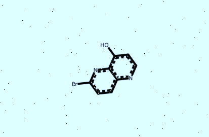 Oc1ccnc2ccc(Br)nc12